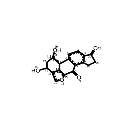 C[C@@]12c3ccc4c(c3C(=O)c3occ(c31)C(O)CC2O)CCC4=O